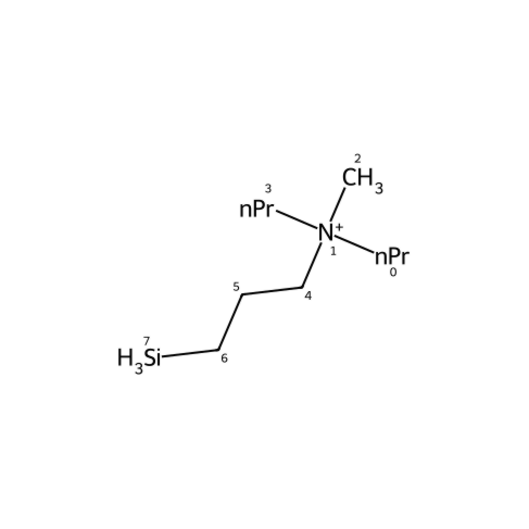 CCC[N+](C)(CCC)CCC[SiH3]